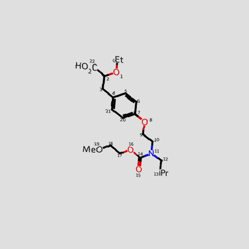 CCOC(Cc1ccc(OCCN(CC(C)C)C(=O)OCCOC)cc1)C(=O)O